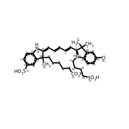 CC1(C)C(/C=C/C=C/C=C2/Nc3ccc(S(=O)(=O)O)cc3C2(C)CCCCCC(=O)O)=[N+](CCCCS(=O)(=O)O)c2ccc(Cl)cc21